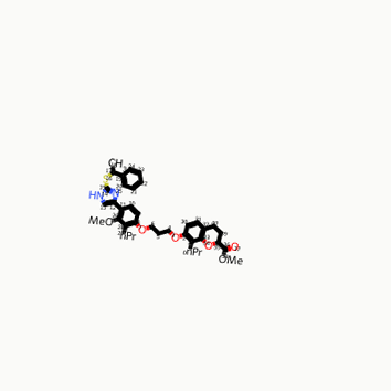 CCCc1c(OCCCOc2ccc(-c3c[nH]c(SC(C)c4ccccc4)n3)c(OC)c2CCC)ccc2c1OC(C(=O)OC)CC2